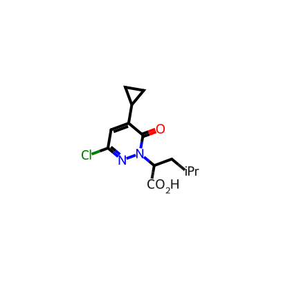 CC(C)CC(C(=O)O)n1nc(Cl)cc(C2CC2)c1=O